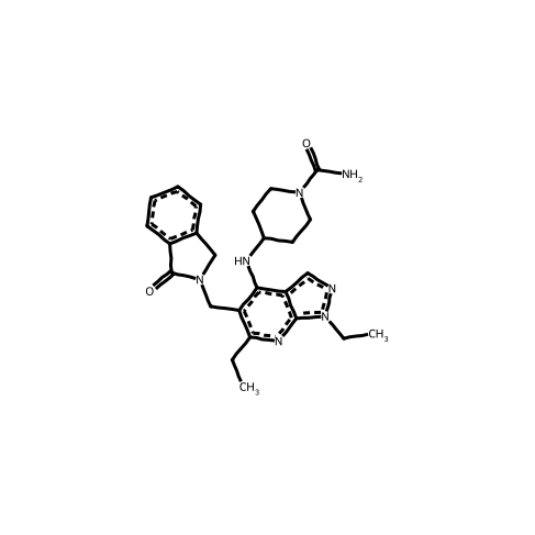 CCc1nc2c(cnn2CC)c(NC2CCN(C(N)=O)CC2)c1CN1Cc2ccccc2C1=O